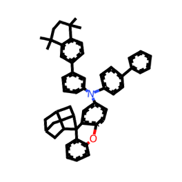 CC1(C)CCC(C)(C)c2cc(-c3cccc(N(c4ccc(-c5ccccc5)cc4)c4ccc5c(c4)C4(c6ccccc6O5)C5CC6CC7CC4C75C6)c3)ccc21